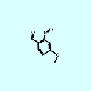 COc1ccc(C=O)c(N=O)c1